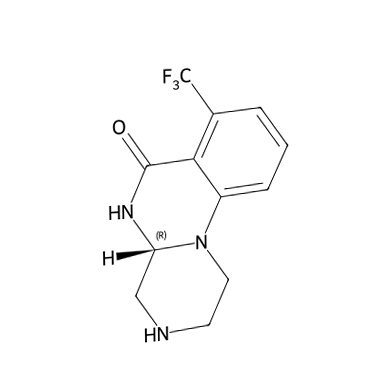 O=C1N[C@H]2CNCCN2c2cccc(C(F)(F)F)c21